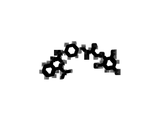 CN(C)c1nc(N[C@H]2CC[C@@H](CNC(=O)COc3c(Cl)cc(Cl)cc3Cl)CC2)nc2ccccc12